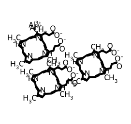 CC1=Cc2cc3[nH]c(cc4nc(cc5[nH]c(cc1n2)cc5C)C(C)=C4CCC(=O)[O-])c(CCC(=O)[O-])c3C.CC1=Cc2cc3[nH]c(cc4nc(cc5[nH]c(cc1n2)cc5C)C(C)=C4CCC(=O)[O-])c(CCC(=O)[O-])c3C.CC1=Cc2cc3[nH]c(cc4nc(cc5[nH]c(cc1n2)cc5C)C(C)=C4CCC(=O)[O-])c(CCC(=O)[O-])c3C.[Al+3].[Al+3]